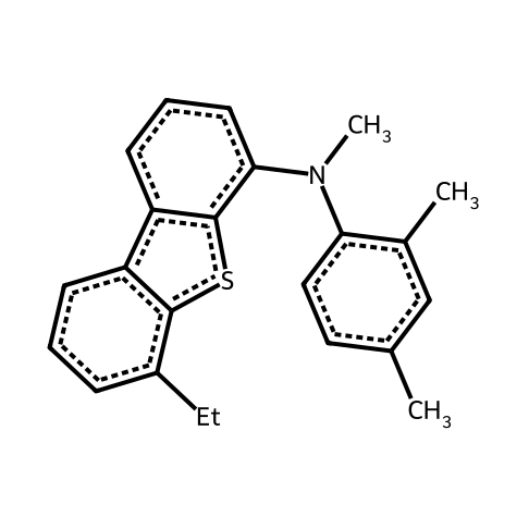 CCc1cccc2c1sc1c(N(C)c3ccc(C)cc3C)cccc12